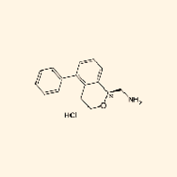 Cl.NC[C@H]1OCCc2c(-c3ccccc3)cccc21